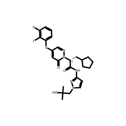 CC(C)(O)Cn1ccc(NC(=O)[C@@H](CC2CCCC2)n2ncc(Oc3cccc(F)c3F)cc2=O)n1